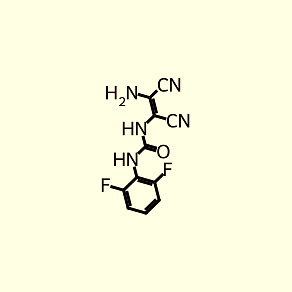 N#C/C(N)=C(\C#N)NC(=O)Nc1c(F)cccc1F